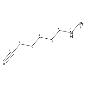 C#CCCCCCNC(C)C